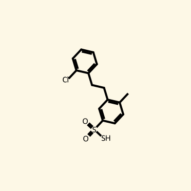 Cc1ccc(S(=O)(=O)S)cc1CCc1ccccc1Cl